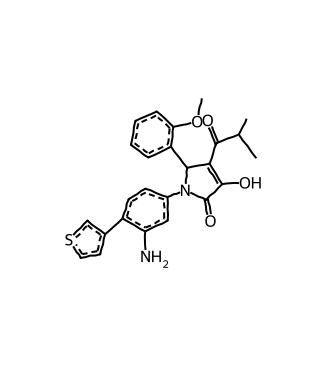 COc1ccccc1C1C(C(=O)C(C)C)=C(O)C(=O)N1c1ccc(-c2ccsc2)c(N)c1